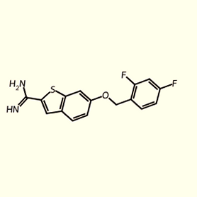 N=C(N)c1cc2ccc(OCc3ccc(F)cc3F)cc2s1